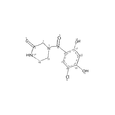 O=C1CN(C(=O)c2cc(Cl)c(O)cc2O)CCN1